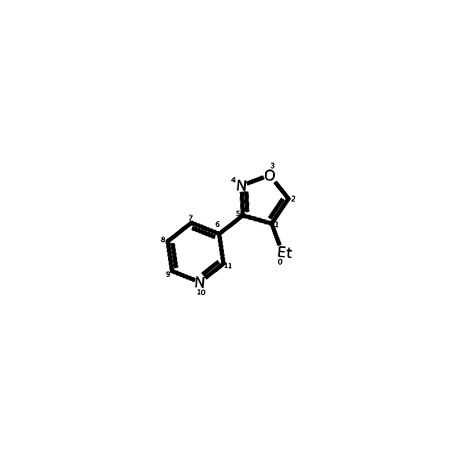 CCc1conc1-c1cccnc1